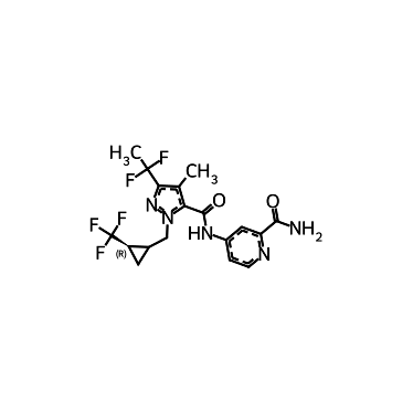 Cc1c(C(C)(F)F)nn(CC2C[C@H]2C(F)(F)F)c1C(=O)Nc1ccnc(C(N)=O)c1